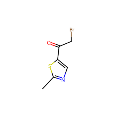 Cc1ncc(C(=O)CBr)s1